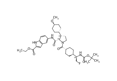 CCOC(=O)c1cc2cc(NC(=O)[C@@H]3[C@H]([C@H]4CC[C@H](OC)CC4)CCN3C(=O)[C@H]3CC[C@H]([C@H](CF)NC(=O)OC(C)(C)C)CC3)ccc2[nH]1